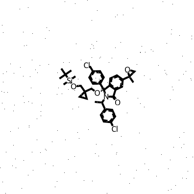 CC(c1ccc(Cl)cc1)N1C(=O)c2cc(C3(C)CO3)ccc2[C@]1(OCC1(CO[Si](C)(C)C(C)(C)C)CC1)c1ccc(Cl)cc1